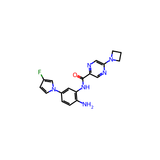 Nc1ccc(-n2ccc(F)c2)cc1NC(=O)c1cnc(N2CCC2)cn1